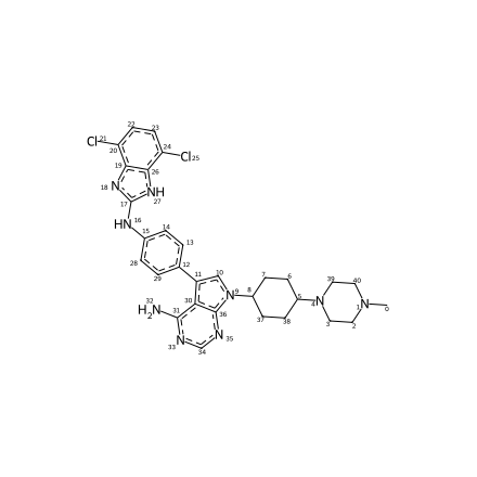 CN1CCN(C2CCC(n3cc(-c4ccc(Nc5nc6c(Cl)ccc(Cl)c6[nH]5)cc4)c4c(N)ncnc43)CC2)CC1